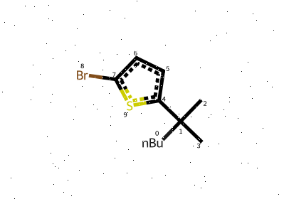 CCCCC(C)(C)c1ccc(Br)s1